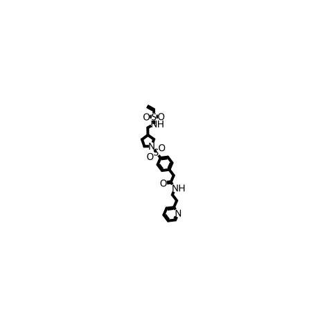 C=CS(=O)(=O)NCC1CCN(S(=O)(=O)c2ccc(CC(=O)NCCc3ccccn3)cc2)C1